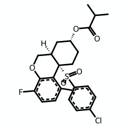 CC(C)C(=O)O[C@@H]1CC[C@@]2(S(=O)(=O)c3ccc(Cl)cc3)c3c(F)ccc(F)c3OC[C@H]2C1